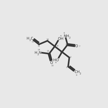 C=CCC(O)(C(N)=O)C(O)(CC=C)C(N)=O